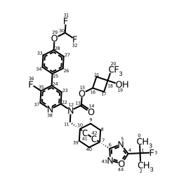 CC(C)(F)c1nc([C@]23CC[C@](CN(C(=O)OC4CC(O)(C(F)(F)F)C4)c4cc(-c5ccc(OC(F)F)cc5)c(F)cn4)(CC2)CC3)no1